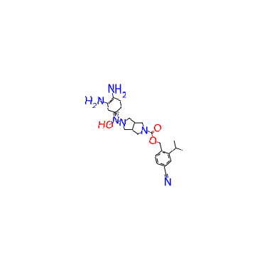 CC(C)c1cc(C#N)ccc1COC(=O)N1CC2CN(N(O)[C@@H]3CCC(N)=C(N)C3)CC2C1